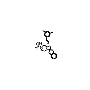 Cc1cc(C)cc(C=COCC2(N3CCN(C(=O)O)CC3)Cc3ccccc3C2)c1